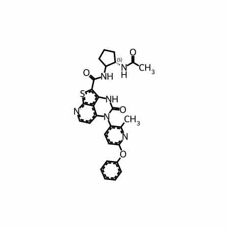 CC(=O)N[C@H]1CCCC1NC(=O)c1sc2nccc3c2c1NC(=O)N3c1ccc(Oc2ccccc2)nc1C